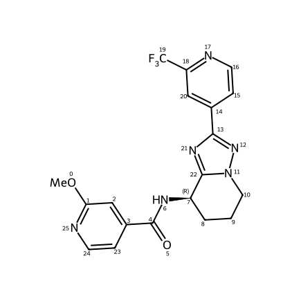 COc1cc(C(=O)N[C@@H]2CCCn3nc(-c4ccnc(C(F)(F)F)c4)nc32)ccn1